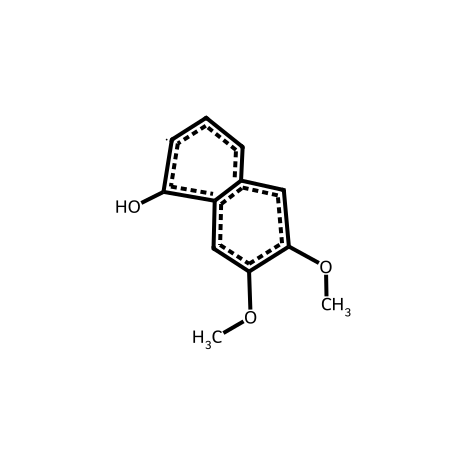 COc1cc2cc[c]c(O)c2cc1OC